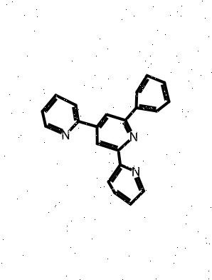 c1ccc(-c2cc(-c3ccccn3)cc(-c3ccccn3)n2)cc1